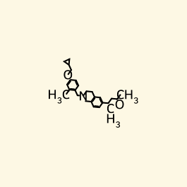 CC(=O)CC(C)c1ccc2c(c1)CCN(Cc1ccc(OCC3CC3)cc1C)C2